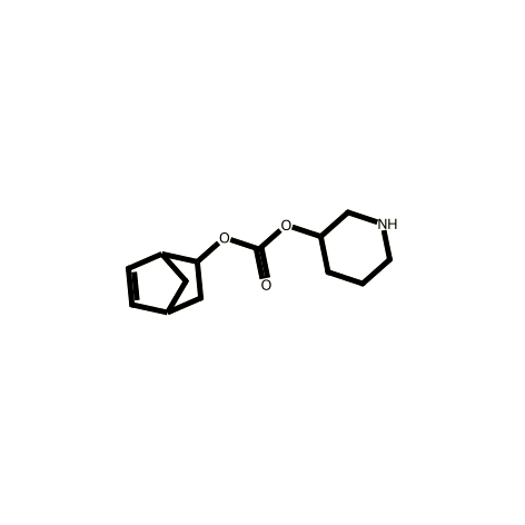 O=C(OC1CCCNC1)OC1CC2C=CC1C2